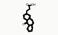 O=C(O)CCc1ccc2c(=O)c3ccccc3ccc2c1